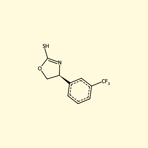 FC(F)(F)c1cccc([C@H]2COC(S)=N2)c1